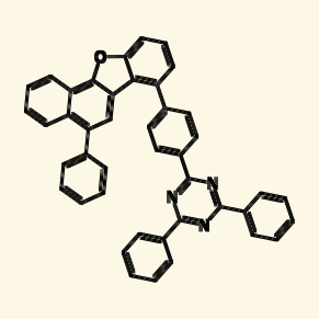 c1ccc(-c2nc(-c3ccccc3)nc(-c3ccc(-c4cccc5oc6c7ccccc7c(-c7ccccc7)cc6c45)cc3)n2)cc1